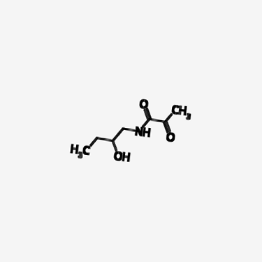 CCC(O)CNC(=O)C(C)=O